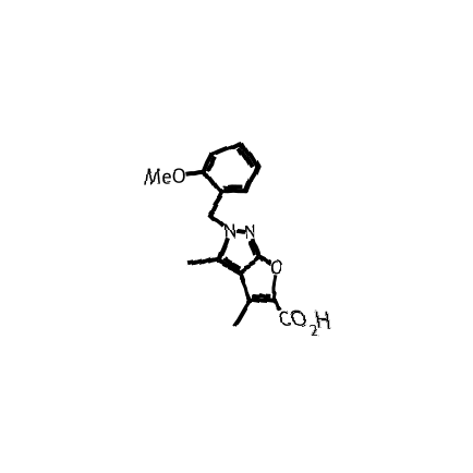 COc1ccccc1Cn1nc2oc(C(=O)O)c(C)c2c1C